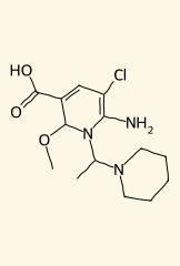 COC1C(C(=O)O)=CC(Cl)=C(N)N1C(C)N1CCCCC1